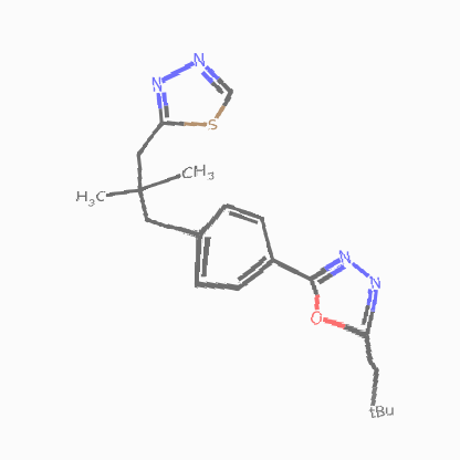 CC(C)(C)Cc1nnc(-c2ccc(CC(C)(C)Cc3nncs3)cc2)o1